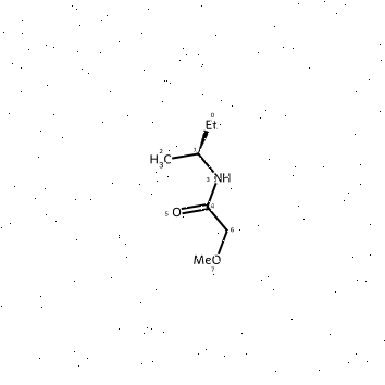 CC[C@H](C)NC(=O)COC